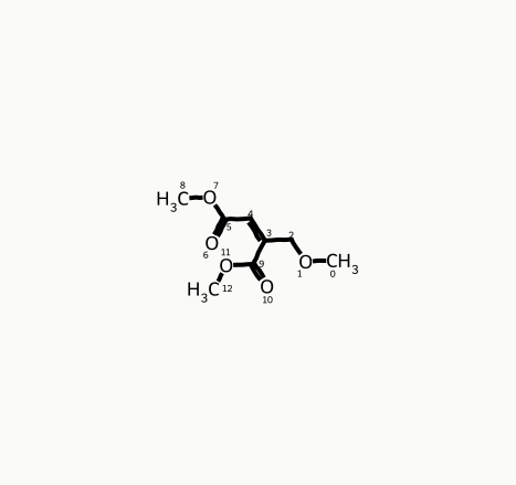 COCC(=CC(=O)OC)C(=O)OC